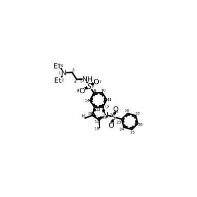 CCN(CC)CCNS(=O)(=O)c1ccc2c(c1)c(C)c(C)n2S(=O)(=O)c1ccccc1